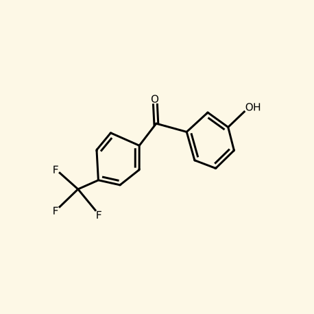 O=C(c1ccc(C(F)(F)F)cc1)c1cccc(O)c1